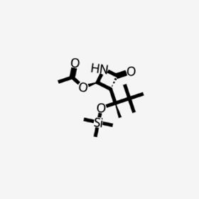 CC(=O)O[C@H]1NC(=O)[C@@H]1[C@@](C)(O[Si](C)(C)C)C(C)(C)C